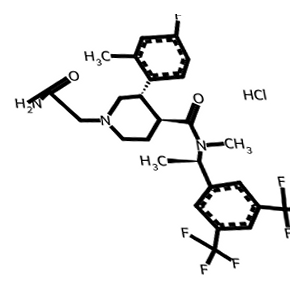 Cc1cc(F)ccc1[C@H]1CN(CC(N)=O)CC[C@@H]1C(=O)N(C)[C@H](C)c1cc(C(F)(F)F)cc(C(F)(F)F)c1.Cl